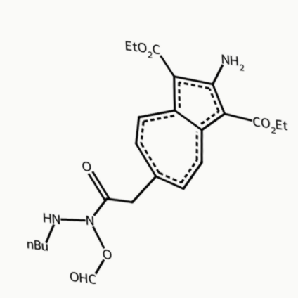 CCCCNN(OC=O)C(=O)Cc1ccc2c(C(=O)OCC)c(N)c(C(=O)OCC)c-2cc1